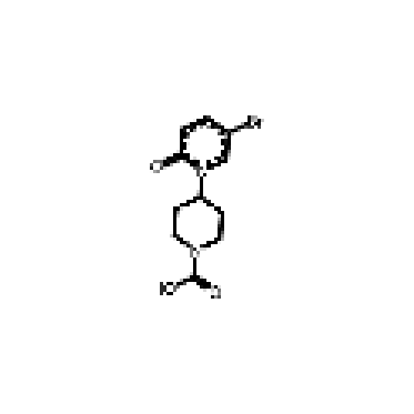 O=C(O)N1CCC(n2cc(Br)ccc2=O)CC1